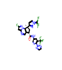 C[C@]1(c2ccn(C(F)F)n2)C[C@H](C(=O)Nc2cnc(-n3nccn3)c(C(F)(F)F)c2)c2cnc3cc(F)nn3c21